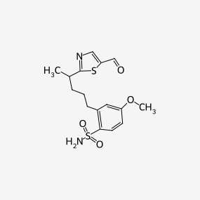 COc1ccc(S(N)(=O)=O)c(CCCC(C)c2ncc(C=O)s2)c1